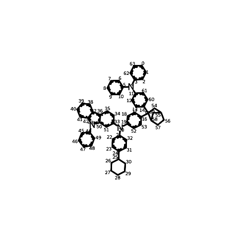 c1ccc(N(c2ccccc2)c2ccc(C3(c4ccc(N(c5ccc(C6CCCCC6)cc5)c5ccc6c7ccccc7n(-c7ccccc7)c6c5)cc4)CC4CCC3C4)cc2)cc1